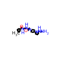 Cc1cccc(C(=O)NCC(=O)NC2CN(C3CCC(c4cccc(NCN)n4)CC3)C2)c1